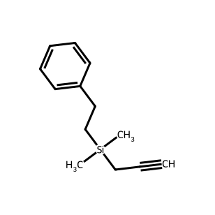 C#CC[Si](C)(C)CCc1ccccc1